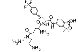 CC1(C)OB(O)c2ccc(NC(=O)[C@@H](CSc3ccc(C(F)(F)F)cc3)NC(=O)[C@@H](N)CCC(=O)N(CCN)CCN)cc21